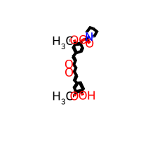 COc1cc(C=CC(=O)CC(=O)C=Cc2ccc(OC(=O)N3CCCCC3)c(OC)c2)ccc1O